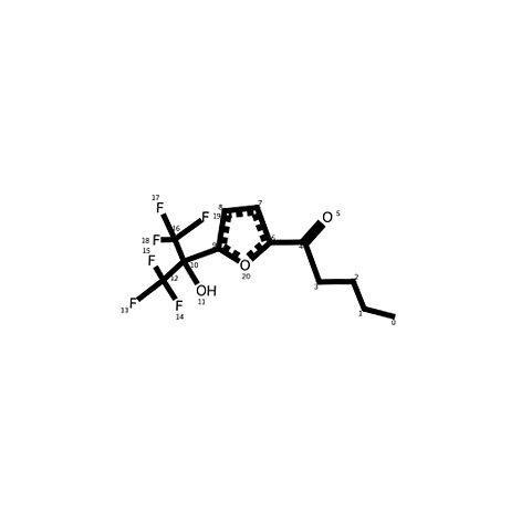 CCCCC(=O)c1ccc(C(O)(C(F)(F)F)C(F)(F)F)o1